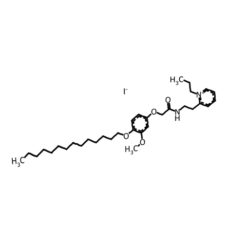 CCCCCCCCCCCCCCOc1ccc(OCC(=O)NCCc2cccc[n+]2CCC)cc1OC.[I-]